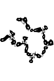 c1ccc(-c2nc(-c3ccc(Oc4ccc(-c5nc(-c6ccccc6)nc(-c6ccccc6)n5)cc4)cc3)cc(-c3ccc(-c4ccc(-c5nc(-c6ccccc6)nc(-c6ccc(Oc7ccc(-c8ccc(-n9c%10ccccc%10c%10cc(-c%11ccc(-c%12nc(-c%13ccccc%13)nc(-c%13ccc(-c%14ccc(Oc%15ccc(-c%16cccc%17c%16oc%16ccccc%16%17)cc%15)cc%14)cc%13)n%12)cc%11)ccc%109)cc8)cc7)cc6)n5)cc4)cc3)n2)cc1